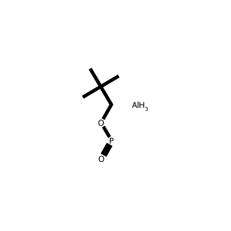 CC(C)(C)COP=O.[AlH3]